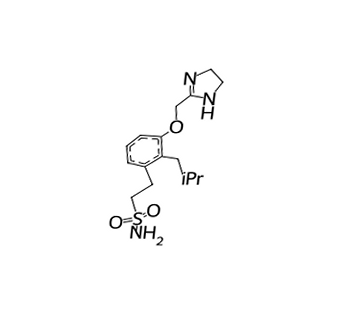 CC(C)Cc1c(CCS(N)(=O)=O)cccc1OCC1=NCCN1